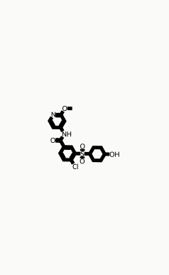 COc1cc(NC(=O)c2ccc(Cl)c(S(=O)(=O)C3CCC(O)CC3)c2)ccn1